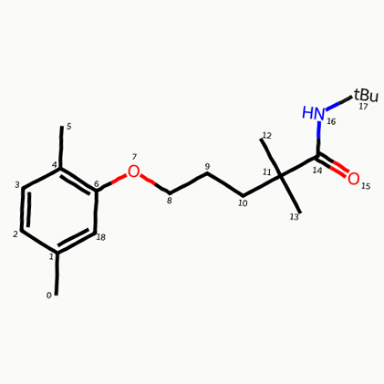 Cc1ccc(C)c(OCCCC(C)(C)C(=O)NC(C)(C)C)c1